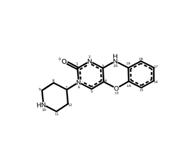 O=c1nc2c(cn1C1CCNCC1)Oc1ccccc1N2